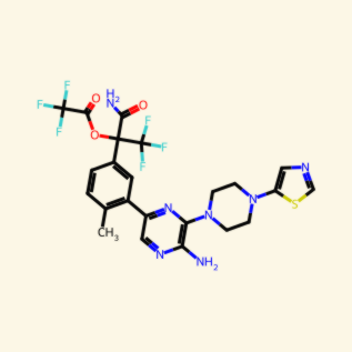 Cc1ccc(C(OC(=O)C(F)(F)F)(C(N)=O)C(F)(F)F)cc1-c1cnc(N)c(N2CCN(c3cncs3)CC2)n1